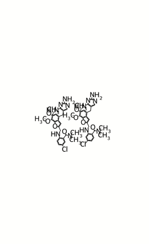 COc1cc(Cc2cnc(N)nc2N)c2cc(CNc3cc(Cl)ccc3C(=O)N(C)C)oc2c1OC.COc1cc(Cc2cnc(N)nc2N)c2cc(CNc3ccc(Cl)cc3C(=O)N(C)C)oc2c1OC